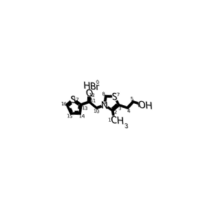 Br.CC1=C(CCO)SCN1CC(=O)c1cccs1